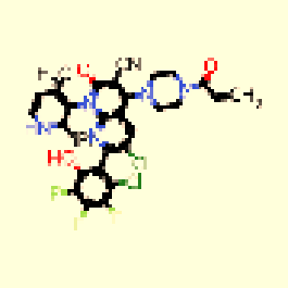 C=CC(=O)N1CCN(c2c(C#N)c(=O)n(C3=C(C)C=CNC3C(C)C)c3nc(-c4c(O)c(F)c(F)c(F)c4Cl)c(Cl)cc23)CC1